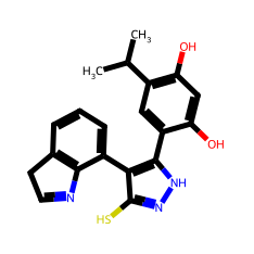 CC(C)c1cc(-c2[nH]nc(S)c2-c2cccc3c2N=CC3)c(O)cc1O